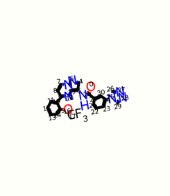 O=C(Nc1cnn2ccc(-c3ccccc3OC(F)(F)F)nc12)c1cccc(-n2cnnc2)c1